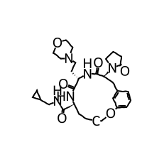 O=C(NCC1CC1)[C@@H]1CCCCOc2cccc(c2)C[C@H](N2CCCC2=O)C(=O)N[C@@H](CCN2CCOCC2)C(=O)N1